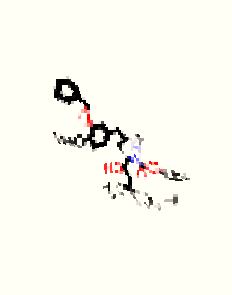 C=C(C[C@H](O)[C@H](C[C@H](Cc1ccc(OC)c(OCc2ccccc2)c1)C(C)C)NC(=O)OC(C)(C)C)C(=O)O